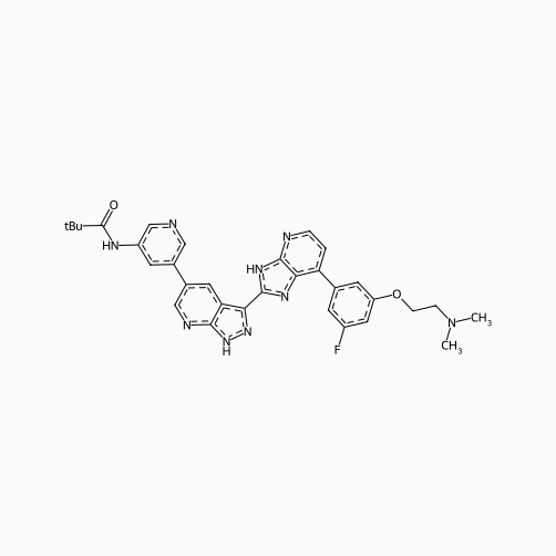 CN(C)CCOc1cc(F)cc(-c2ccnc3[nH]c(-c4n[nH]c5ncc(-c6cncc(NC(=O)C(C)(C)C)c6)cc45)nc23)c1